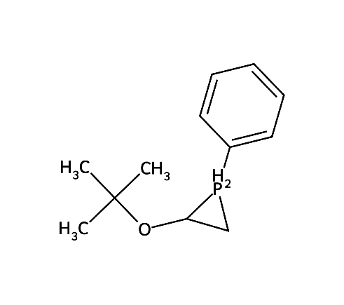 CC(C)(C)OC1C[PH2]1c1ccccc1